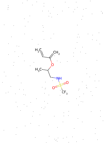 C=CC(=C)OC(C)CNS(=O)(=O)C(F)(F)F